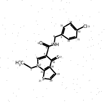 CCn1cc(C(=O)NCc2ccc(Cl)cc2)c(=S)c2ccsc21